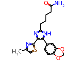 Cc1csc(-c2nc(CCCCC(N)=O)[nH]c2-c2ccc3c(c2)OCO3)n1